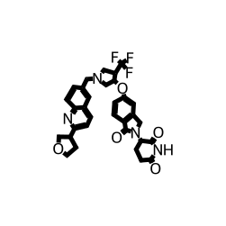 O=C1CCC(N2Cc3cc(OC4CN(Cc5ccc6nc(C7CCOC7)ccc6c5)CC4C(F)(F)F)ccc3C2=O)C(=O)N1